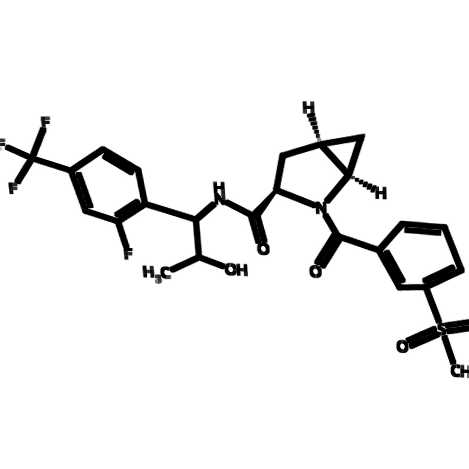 CC(O)C(NC(=O)[C@H]1C[C@H]2C[C@H]2N1C(=O)c1cccc(S(C)(=O)=O)c1)c1ccc(C(F)(F)F)cc1F